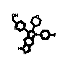 OCc1ccc(-c2c(C3CCOCC3)n(-c3ccc(F)cc3)c3cc4cn[nH]c4cc23)cn1